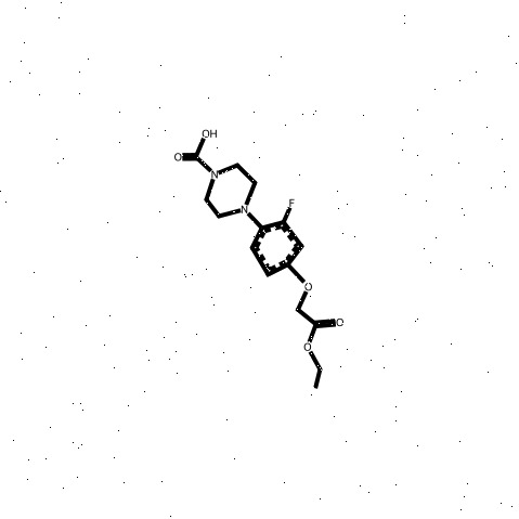 CCOC(=O)COc1ccc(N2CCN(C(=O)O)CC2)c(F)c1